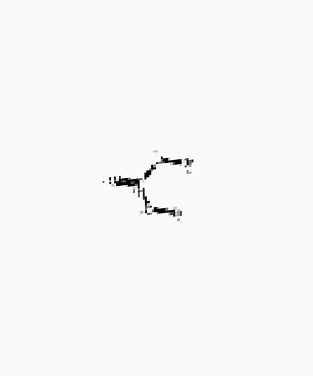 O=[PH](OBr)OBr